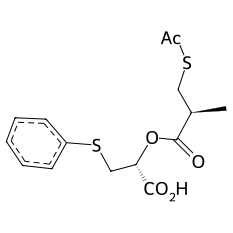 CC(=O)SC[C@@H](C)C(=O)O[C@@H](CSc1ccccc1)C(=O)O